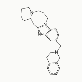 c1ccc2c(c1)CCN(Cc1ccc3c(c1)nc1n3CCCN3CCCCC3C1)C2